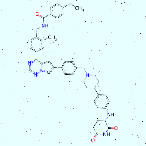 CCc1ccc(C(=O)NCc2ccc(-c3ncnn4cc(-c5ccc(CN6CCC(c7ccc(NC8CCC(=O)NC8=O)cc7)CC6)cc5)cc34)cc2C)cc1